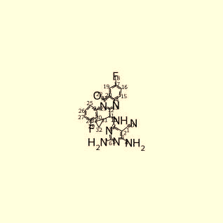 N#Cc1c(N)nc(N)nc1N[C@H](c1nc2ccc(F)cc2c(=O)n1-c1cccc(F)c1)C1CC1